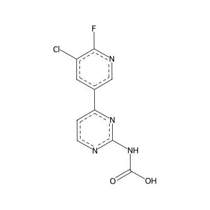 O=C(O)Nc1nccc(-c2cnc(F)c(Cl)c2)n1